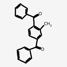 Cc1cc(C(=O)c2ccccc2)ccc1C(=O)c1ccccc1